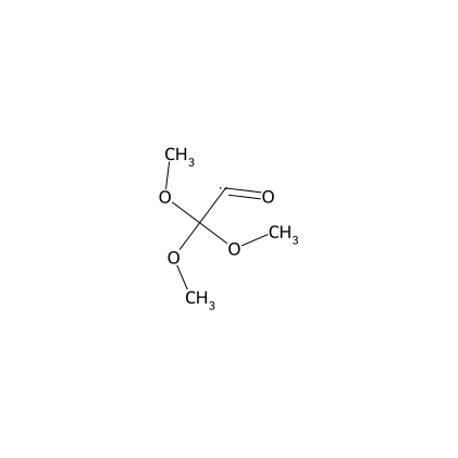 COC([C]=O)(OC)OC